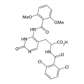 COc1cccc(OC)c1C(=O)Nc1[nH]c(=O)ncc1CC(NC(=O)c1c(Cl)cccc1Cl)C(=O)O